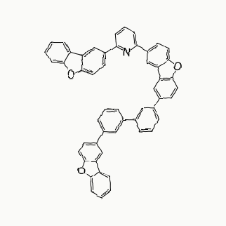 c1cc(-c2cccc(-c3ccc4oc5ccc(-c6cccc(-c7ccc8oc9ccccc9c8c7)n6)cc5c4c3)c2)cc(-c2ccc3oc4ccccc4c3c2)c1